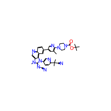 Cc1cc(-c2ccc3ncc4c(c3c2)n(-c2ccc(C(C)(C)C#N)nc2)/c(=N\C#N)n4C)cnc1N1CCN(C(=O)OC(C)(C)C)CC1